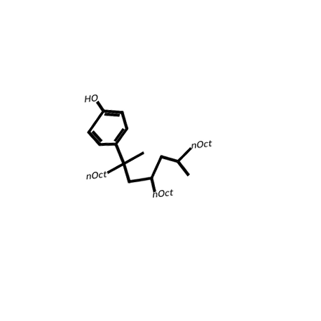 CCCCCCCCC(C)CC(CCCCCCCC)CC(C)(CCCCCCCC)c1ccc(O)cc1